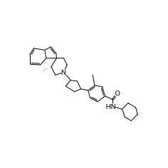 Cc1cc(C(=O)NC2CCCCC2)ccc1C1CCC(N2CCC3(C=CC4C=CC=CC43)[C@@H](C)C2)C1